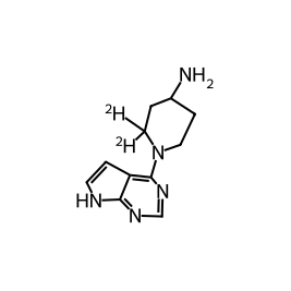 [2H]C1([2H])CC(N)CCN1c1ncnc2[nH]ccc12